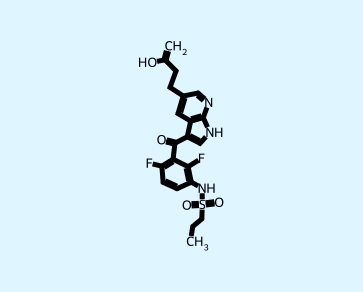 C=C(O)CCc1cnc2[nH]cc(C(=O)c3c(F)ccc(NS(=O)(=O)CCC)c3F)c2c1